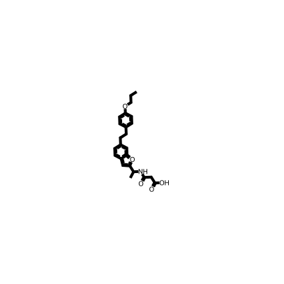 CCCOc1ccc(CCc2ccc3cc(C(C)NC(=O)CC(=O)O)oc3c2)cc1